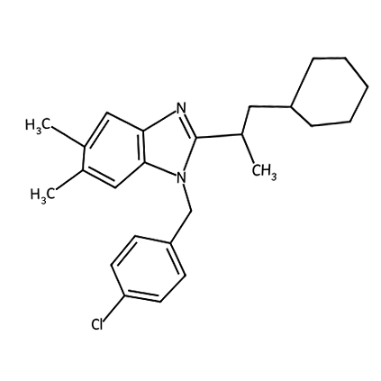 Cc1cc2nc(C(C)CC3CCCCC3)n(Cc3ccc(Cl)cc3)c2cc1C